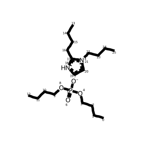 CCCCOP(=O)([O-])OCCCC.CCCCc1[nH]cc[n+]1CCCC